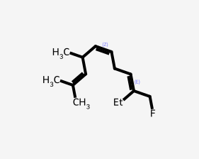 CC/C(=C\C/C=C\C(C)C=C(C)C)CF